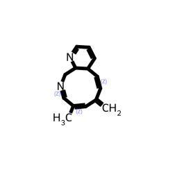 C=C1/C=C\C2C=CC=NC2C/N=C\C(C)=C/1